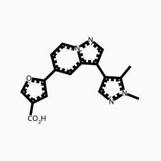 Cc1c(-c2cnn3ccc(-c4cc(C(=O)O)co4)cc23)cnn1C